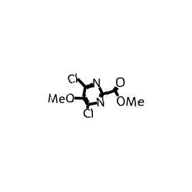 COC(=O)c1nc(Cl)c(OC)c(Cl)n1